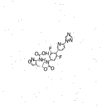 O=C(O)Nc1nocc1C[C@@H]1CN(c2cc(F)c(-c3ccc(-n4cncn4)nc3)c(F)c2)C(=O)O1